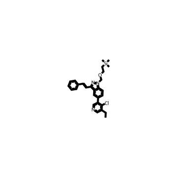 CCc1cncc(-c2ccc3c(c2)c(/C=C/c2ccccc2)nn3COCC[Si](C)(C)C)c1Cl